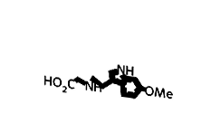 COc1ccc2c(CCNCC(=O)O)c[nH]c2c1